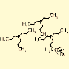 CCCP(CCC)CCC.CCCP(CCC)CCC.CCCP(CCC)CCC.[C]=O.[C]=O.[Ru]